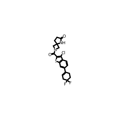 O=C1CCC2(CN(C(=O)c3sc4cc(C5=CCC(F)(F)CC5)ccc4c3Cl)C2)N1